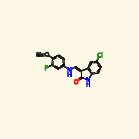 COc1ccc(NC=C2C(=O)Nc3ccc(Cl)cc32)cc1F